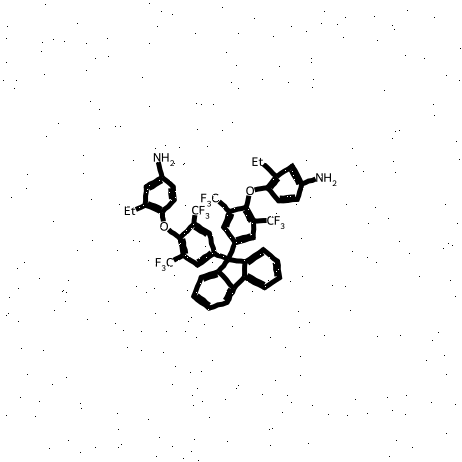 CCc1cc(N)ccc1Oc1c(C(F)(F)F)cc(C2(c3cc(C(F)(F)F)c(Oc4ccc(N)cc4CC)c(C(F)(F)F)c3)c3ccccc3-c3ccccc32)cc1C(F)(F)F